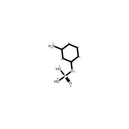 NC1CCCC(OP(=O)(O)O)C1